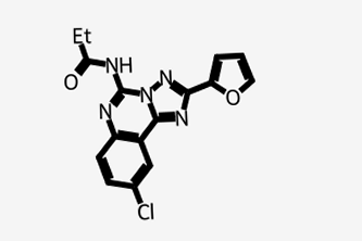 CCC(=O)Nc1nc2ccc(Cl)cc2c2nc(-c3ccco3)nn12